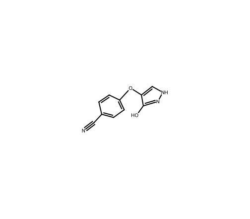 N#Cc1ccc(Oc2c[nH]nc2O)cc1